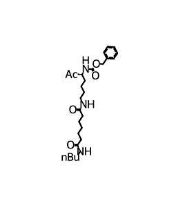 CCCCNC(=O)CCCCCC(=O)NCCCC[C@H](NC(=O)OCc1ccccc1)C(C)=O